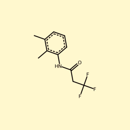 Cc1cccc(NC(=O)CC(F)(F)F)c1C